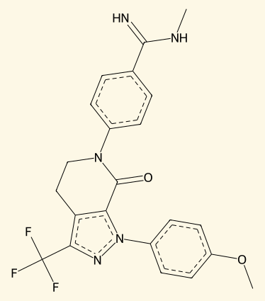 CNC(=N)c1ccc(N2CCc3c(C(F)(F)F)nn(-c4ccc(OC)cc4)c3C2=O)cc1